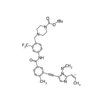 C=Nn1c(C#Cc2cc(C(=O)Nc3ccc(CN4CCN(C(=O)OC(C)(C)C)CC4)c(C(F)(F)F)c3)ccc2C)cnc1/C=C\C